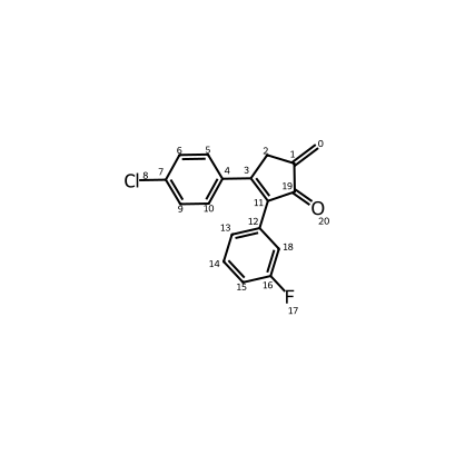 C=C1CC(c2ccc(Cl)cc2)=C(c2cccc(F)c2)C1=O